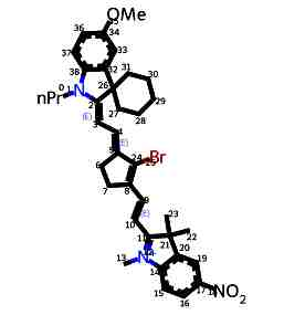 CCCN1/C(=C/C=C2\CCC(/C=C/C3=[N+](C)c4ccc([N+](=O)[O-])cc4C3(C)C)=C2Br)C2(CCCCC2)c2cc(OC)ccc21